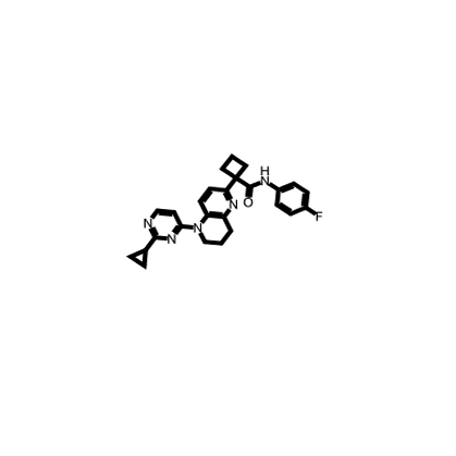 O=C(Nc1ccc(F)cc1)C1(c2ccc3c(n2)CCCN3c2ccnc(C3CC3)n2)CCC1